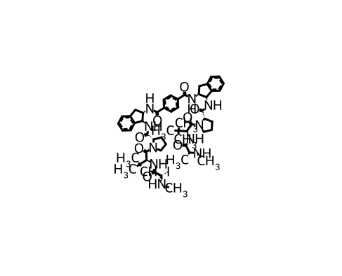 CN[C@@H](C)C(=O)N[C@H](C(=O)N1CCC[C@H]1C(=O)N[C@H]1c2ccccc2C[C@@H]1NC(=O)c1ccc(C(=O)N[C@H]2Cc3ccccc3[C@@H]2NC(=O)[C@@H]2CCCN2C(=O)[C@@H](NC(=O)[C@H](I)NC)C(C)(C)C)cc1)C(C)(C)C